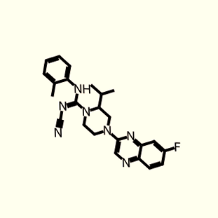 Cc1ccccc1N/C(=N/C#N)N1CCN(c2cnc3ccc(F)cc3n2)CC1C(C)C